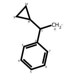 [CH2]C(c1ccccc1)C1CC1